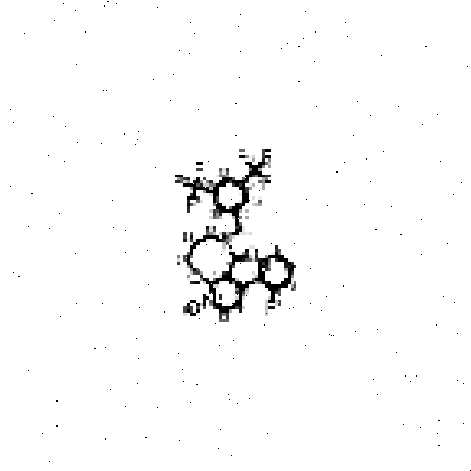 O=C1c2c(-c3ccccc3F)cc[n+]([O-])c2OCCCN1Cc1cc(C(F)(F)F)cc(C(F)(F)F)c1